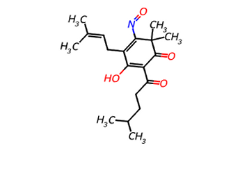 CC(C)=CCC1=C(N=O)C(C)(C)C(=O)C(C(=O)CCC(C)C)=C1O